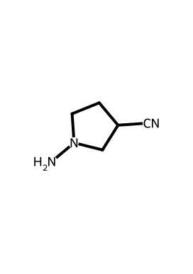 N#CC1CCN(N)C1